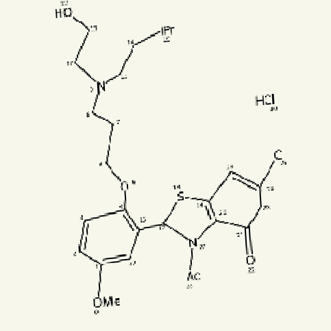 COc1ccc(OCCCN(CCO)CCC(C)C)c(C2SC3=C(C(=O)CC(Cl)=C3)N2C(C)=O)c1.Cl